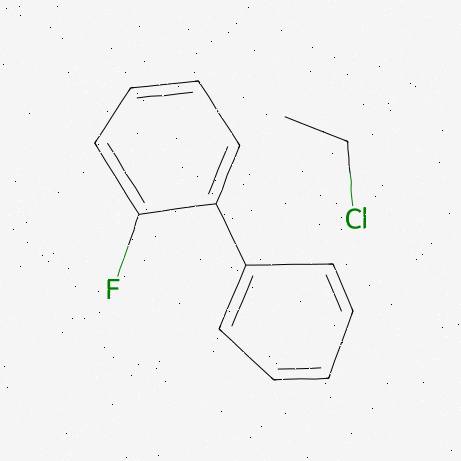 CCCl.Fc1ccccc1-c1ccccc1